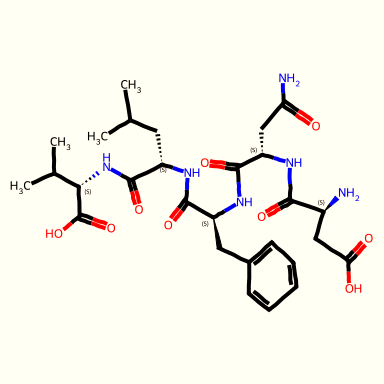 CC(C)C[C@H](NC(=O)[C@H](Cc1ccccc1)NC(=O)[C@H](CC(N)=O)NC(=O)[C@@H](N)CC(=O)O)C(=O)N[C@H](C(=O)O)C(C)C